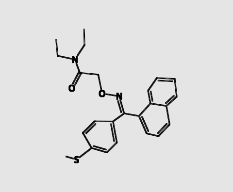 CCN(CC)C(=O)CON=C(c1ccc(SC)cc1)c1cccc2ccccc12